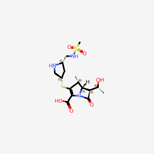 C[C@@H](O)[C@H]1C(=O)N2C(C(=O)O)=C(S[C@@H]3CN[C@H](CNS(C)(=O)=O)C3)[C@H](C)[C@H]12